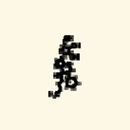 CCCCNC1c2ncn([C@@H]3O[C@H](CO)C(O)C3O)c2N=CN1C1CCCCC1